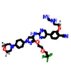 C[C@@H]1CN(C2CCC(n3cc(Nc4ncc(-c5ccc(C#N)c(O[C@@H](C)CNC=N)c5)cn4)c(OCCOCC(F)(F)F)n3)CC2)C[C@H](C)O1